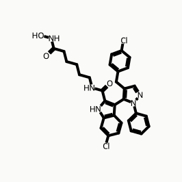 O=C(CCCCCNC(=O)c1[nH]c2cc(Cl)ccc2c1-c1c(Cc2ccc(Cl)cc2)cnn1-c1ccccc1)NO